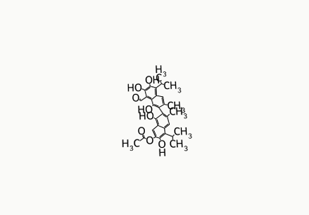 CC(=O)Oc1cc2c(O)c(-c3c(C)cc4c(C(C)C)c(O)c(O)c(C=O)c4c3O)c(C)cc2c(C(C)C)c1O